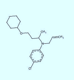 C=CCN(c1ccc(Cl)cc1)C(C)CCOC1CC[CH]CC1